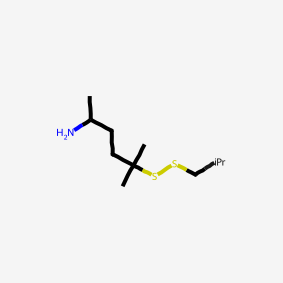 CC(C)CSSC(C)(C)CCC(C)N